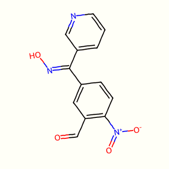 O=Cc1cc(C(=NO)c2cccnc2)ccc1[N+](=O)[O-]